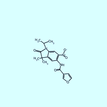 CC(C)N1C(=O)C(C)(C)c2cc(NC(=O)c3ccoc3)c([N+](=O)[O-])cc21